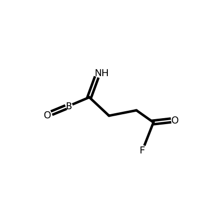 N=C(B=O)CCC(=O)F